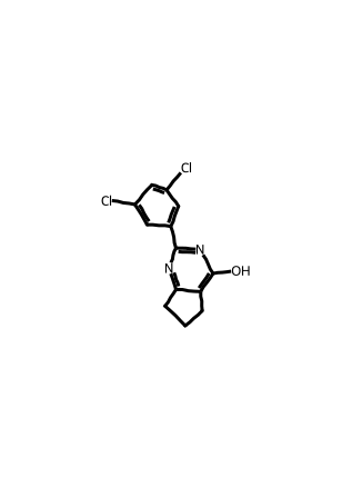 Oc1nc(-c2cc(Cl)cc(Cl)c2)nc2c1CCC2